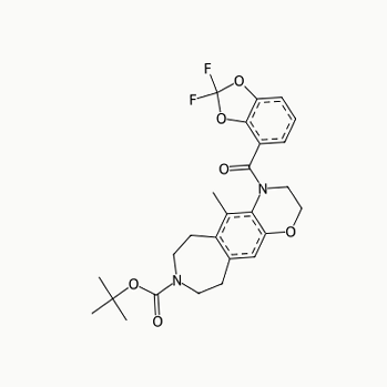 Cc1c2c(cc3c1N(C(=O)c1cccc4c1OC(F)(F)O4)CCO3)CCN(C(=O)OC(C)(C)C)CC2